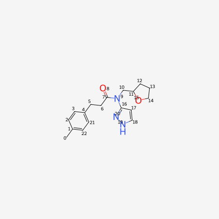 Cc1ccc(CCC(=O)N(CC2CCCO2)c2cc[nH]n2)cc1